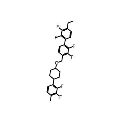 CCc1ccc(-c2ccc(COC3CCC(c4ccc(C)c(F)c4F)CC3)c(F)c2F)c(F)c1F